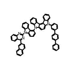 c1ccc(-c2ccc(-c3cccc(-n4c5ccccc5c5c6c7ccccc7n(-c7cccc8c7c7ccccc7n8-c7nc(-c8ccc9ccccc9c8)c8ccccc8n7)c6ccc54)c3)cc2)cc1